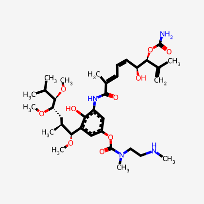 C=C(C)[C@H](OC(N)=O)[C@@H](O)/C=C\C=C(/C)C(=O)Nc1cc(OC(=O)N(C)CCNC)cc([C@H](OC)[C@@H](C)C[C@H](OC)[C@H](OC)C(C)C)c1O